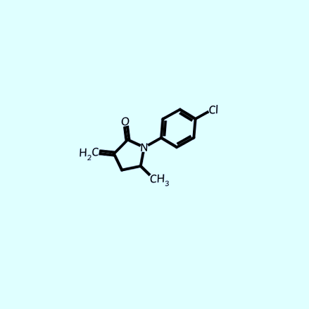 C=C1CC(C)N(c2ccc(Cl)cc2)C1=O